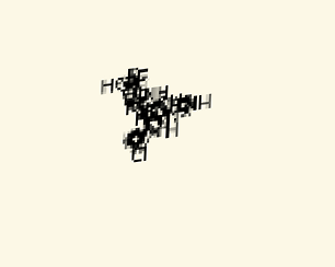 CCn1c(-c2nonc2N)nc2c(-c3cccc(Cl)c3)ncc(C(=O)NC3CCNC3)c21.O=C(O)C(F)(F)F